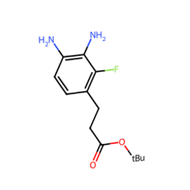 CC(C)(C)OC(=O)CCc1ccc(N)c(N)c1F